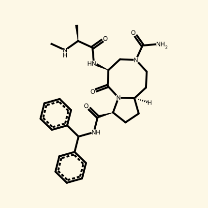 CN[C@@H](C)C(=O)N[C@H]1CN(C(N)=O)CC[C@H]2CC[C@@H](C(=O)NC(c3ccccc3)c3ccccc3)N2C1=O